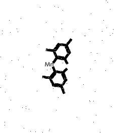 Cc1cc(C)[c]([Mn][c]2c(C)cc(C)cc2C)c(C)c1